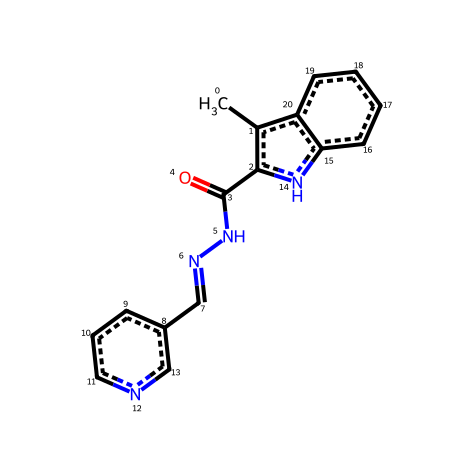 Cc1c(C(=O)NN=Cc2cccnc2)[nH]c2ccccc12